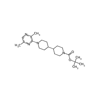 Cc1cnc(C)c(N2CCC(C3CCN(C(=O)OC(C)(C)C)CC3)CC2)n1